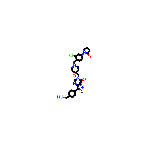 Cn1nc2c(=O)n(CC3(O)CCN(Cc4ccc(N5CCCC5=O)cc4Cl)CC3)cnc2c1-c1ccc(CN)cc1